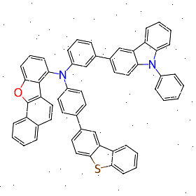 c1ccc(-n2c3ccccc3c3cc(-c4cccc(N(c5ccc(-c6ccc7sc8ccccc8c7c6)cc5)c5cccc6oc7c8ccccc8ccc7c56)c4)ccc32)cc1